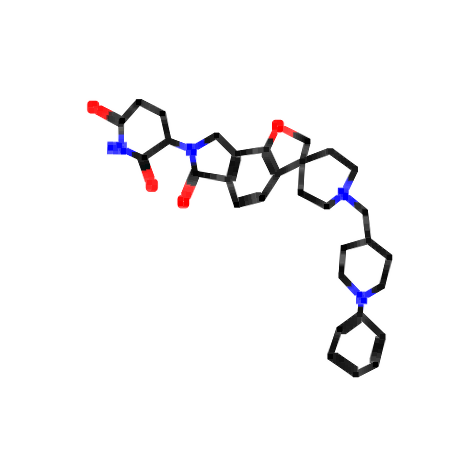 O=C1CCC(N2Cc3c(ccc4c3OCC43CCN(CC4CCN(c5ccccc5)CC4)CC3)C2=O)C(=O)N1